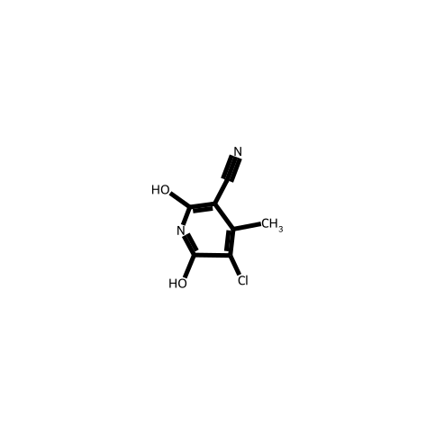 Cc1c(Cl)c(O)nc(O)c1C#N